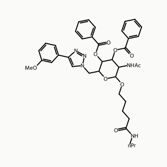 CCCNC(=O)CCCCOC1OC(Cn2cc(-c3cccc(OC)c3)nn2)C(OC(=O)c2ccccc2)C(OC(=O)c2ccccc2)C1NC(C)=O